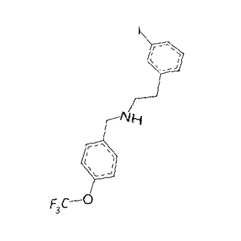 FC(F)(F)Oc1ccc(CNCCc2cccc(I)c2)cc1